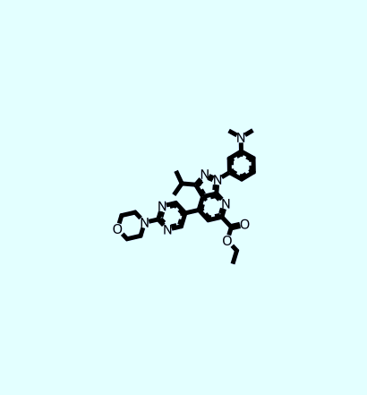 CCOC(=O)c1cc(-c2cnc(N3CCOCC3)nc2)c2c(C(C)C)nn(-c3cccc(N(C)C)c3)c2n1